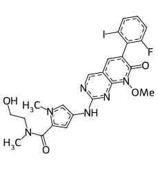 COn1c(=O)c(-c2c(F)cccc2I)cc2cnc(Nc3cc(C(=O)N(C)CCO)n(C)c3)nc21